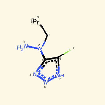 CC(C)CN(N)c1nn[nH]c1F